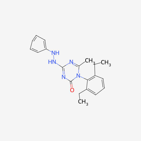 CCc1cccc(CC)c1-n1c(C)nc(NNc2ccccc2)nc1=O